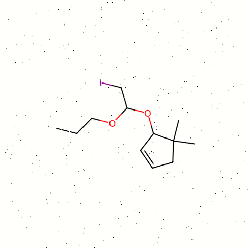 CCCOC(CI)OC1C=CCC1(C)C